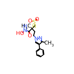 Cc1nn(CC[C@@](C)(C[SH](=O)=O)C(=O)NO)cc1-c1ccccc1